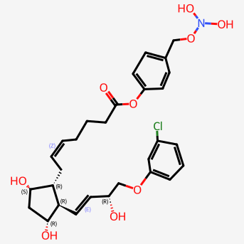 O=C(CCC/C=C\C[C@@H]1[C@@H](/C=C/[C@@H](O)COc2cccc(Cl)c2)[C@H](O)C[C@@H]1O)Oc1ccc(CON(O)O)cc1